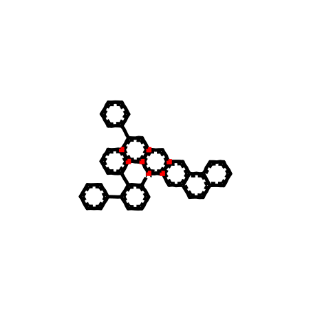 c1ccc(-c2ccc(N(c3ccc4c(ccc5ccccc54)c3)c3cccc(-c4ccccc4)c3-c3ccccc3-c3ccccc3)cc2)cc1